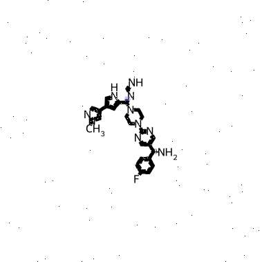 Cn1cc(-c2c[nH]c(/C(=N\C=N)N3CCN(c4ncc([C@H](N)c5ccc(F)cc5)cn4)CC3)c2)cn1